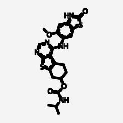 COc1cc2[nH]c(=O)sc2cc1Nc1ncnc2sc3c(c12)CCC(OC(=O)NC(C)C)C3